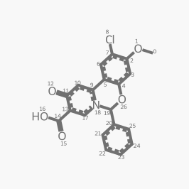 COc1cc2c(cc1Cl)-c1cc(=O)c(C(=O)O)cn1C(c1ccccc1)O2